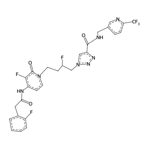 O=C(Cc1ccccc1F)Nc1ccn(CCC(F)Cn2cc(C(=O)NCc3ccc(C(F)(F)F)nc3)nn2)c(=O)c1F